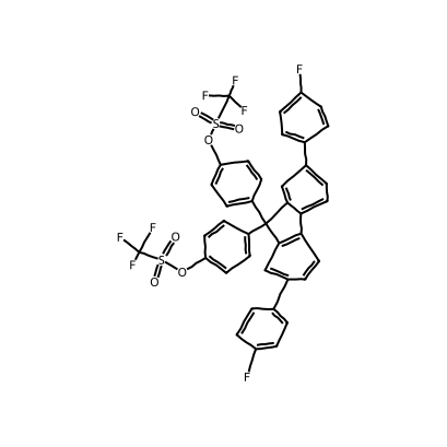 O=S(=O)(Oc1ccc(C2(c3ccc(OS(=O)(=O)C(F)(F)F)cc3)c3cc(-c4ccc(F)cc4)ccc3-c3ccc(-c4ccc(F)cc4)cc32)cc1)C(F)(F)F